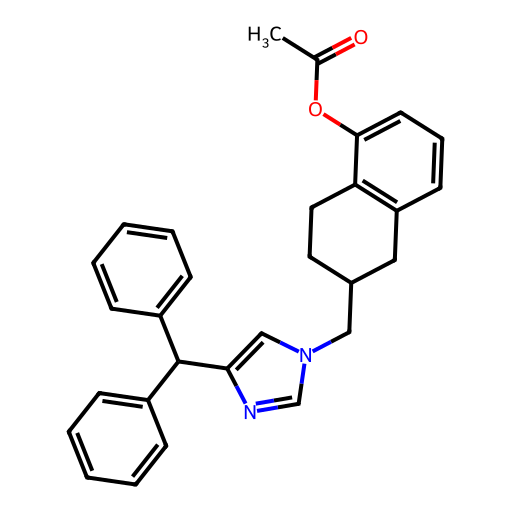 CC(=O)Oc1cccc2c1CCC(Cn1cnc(C(c3ccccc3)c3ccccc3)c1)C2